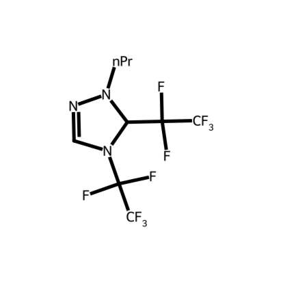 CCCN1N=CN(C(F)(F)C(F)(F)F)C1C(F)(F)C(F)(F)F